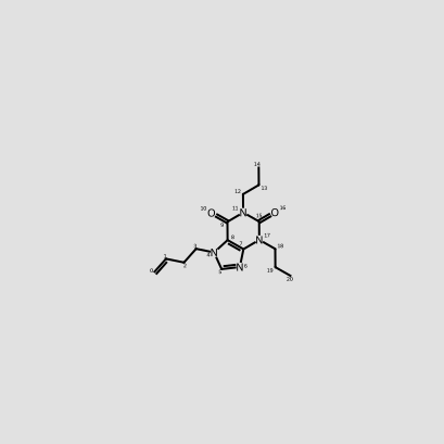 C=CCCn1cnc2c1c(=O)n(CCC)c(=O)n2CCC